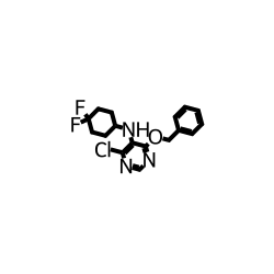 FC1(F)CCC(Nc2c(Cl)ncnc2OCc2ccccc2)CC1